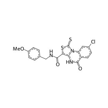 COc1ccc(CNC(=O)c2sc(=S)n3c2[nH]c(=O)c2ccc(Cl)cc23)cc1